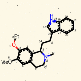 CCOc1cc2c(cc1OC)CCN(C)C2CCc1c[nH]c2ccccc12